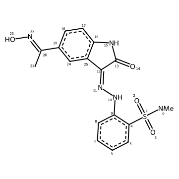 CNS(=O)(=O)c1ccccc1N/N=C1\C(=O)Nc2ccc(/C(C)=N/O)cc21